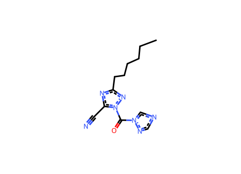 CCCCCCc1nc(C#N)n(C(=O)n2cncn2)n1